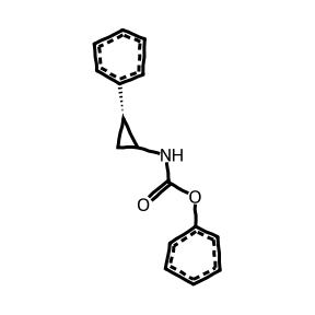 O=C(NC1C[C@@H]1c1ccccc1)Oc1ccccc1